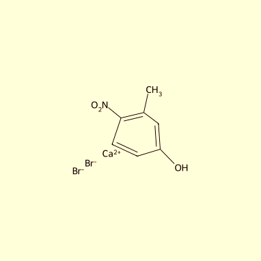 Cc1cc(O)ccc1[N+](=O)[O-].[Br-].[Br-].[Ca+2]